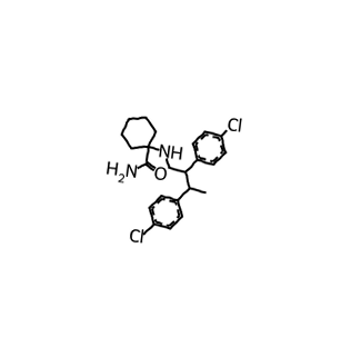 CC(c1ccc(Cl)cc1)C(CNC1(C(N)=O)CCCCC1)c1ccc(Cl)cc1